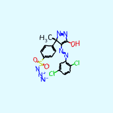 CC1(c2ccc(S(=O)(=O)N=[N+]=[N-])cc2)N=NC(O)=C1N=Nc1cc(Cl)ccc1Cl